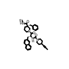 CC#CC1CCN(C(=O)N[C@H](Cc2ccc3ccccc3c2)C(=O)N2CCC[C@@](Cc3ccccc3)(C(=O)NCC)C2)CC1